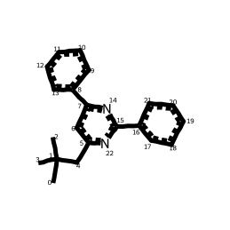 CC(C)(C)Cc1cc(-c2ccccc2)nc(-c2ccccc2)n1